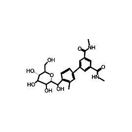 CNC(=O)c1cc(C(=O)NC)cc(-c2ccc([C@@H](O)[C@H]3OC(CO)[C@@H](O)C(O)C3O)c(C)c2)c1